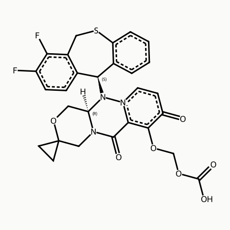 O=C(O)OCOc1c2n(ccc1=O)N([C@@H]1c3ccccc3SCc3c1ccc(F)c3F)[C@@H]1COC3(CC3)CN1C2=O